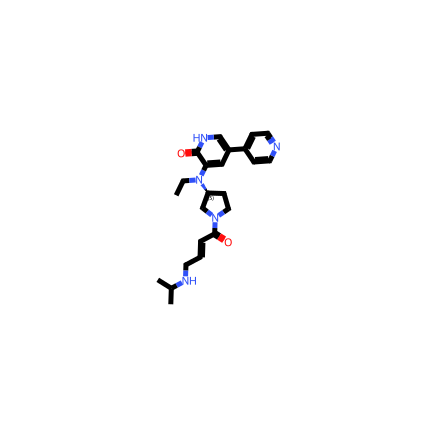 CCN(c1cc(-c2ccncc2)c[nH]c1=O)[C@H]1CCN(C(=O)C=CCNC(C)C)C1